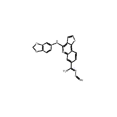 N=N/N=C(\N)c1ccc2c(c1)nc(Nc1ccc3c(c1)OCO3)c1ccsc12